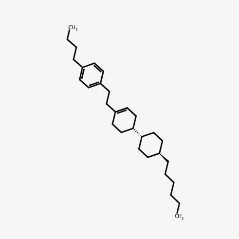 CCCCCC[C@H]1CC[C@H](C2CC=C(CCc3ccc(CCCC)cc3)CC2)CC1